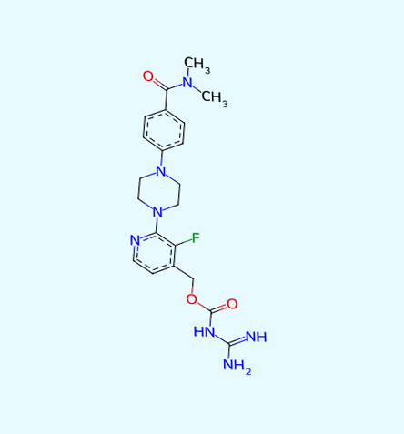 CN(C)C(=O)c1ccc(N2CCN(c3nccc(COC(=O)NC(=N)N)c3F)CC2)cc1